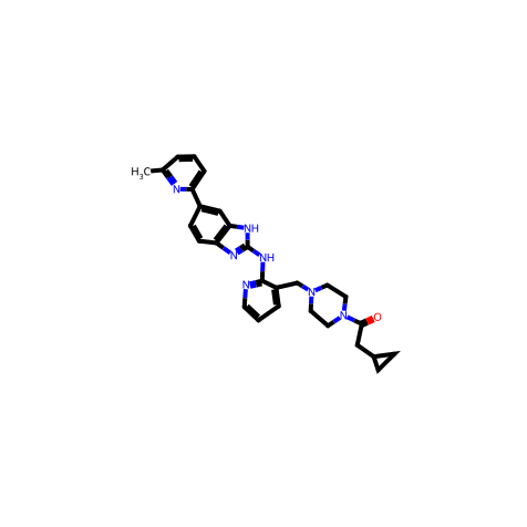 Cc1cccc(-c2ccc3nc(Nc4ncccc4CN4CCN(C(=O)CC5CC5)CC4)[nH]c3c2)n1